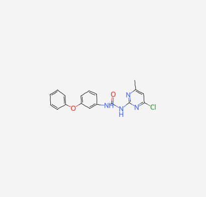 Cc1cc(Cl)nc(NC(=O)Nc2cccc(Oc3ccccc3)c2)n1